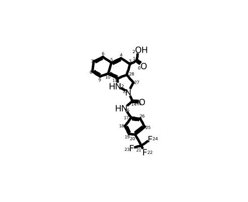 O=C(O)C1C=c2ccccc2=C2NN(C(=O)Nc3ccc(C(F)(F)F)cc3)CC21